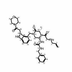 C=CCNCC(=O)N1[C@@H](NC(=O)NCc2ccccc2)CN(Cc2cccc3[nH]n(CC(=O)N4CCOCC4)c23)C(=O)[C@@H]1C